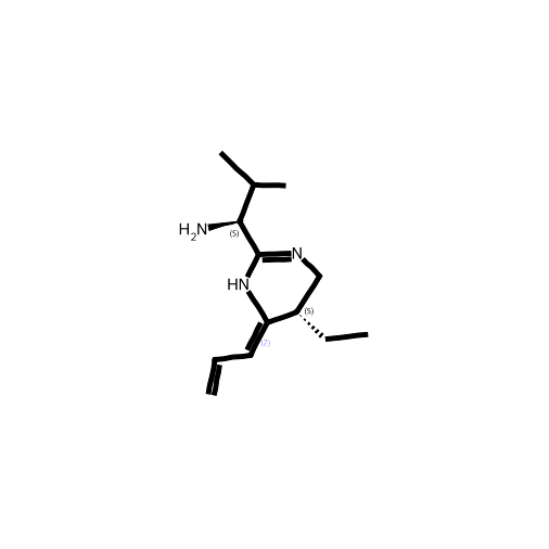 C=C/C=C1\NC([C@@H](N)C(C)C)=NC[C@@H]1CC